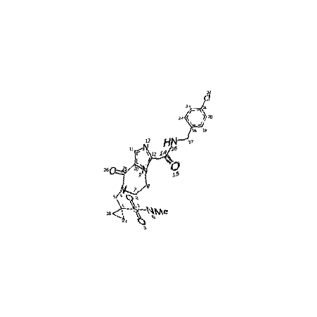 CNS(=O)(=O)C1(CN2CCn3c(cnc3C(=O)NCc3ccc(Cl)cc3)C2=O)CC1